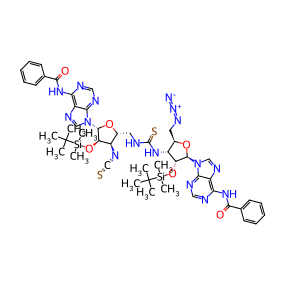 CC(C)(C)[Si](C)(C)O[C@@H]1[C@H](N=C=S)[C@@H](CNC(=S)N[C@H]2[C@@H](O[Si](C)(C)C(C)(C)C)[C@H](n3cnc4c(NC(=O)c5ccccc5)ncnc43)O[C@@H]2CN=[N+]=[N-])O[C@H]1n1cnc2c(NC(=O)c3ccccc3)ncnc21